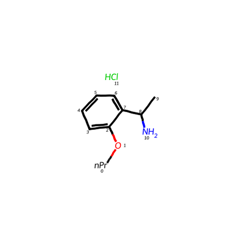 CCCOc1ccccc1C(C)N.Cl